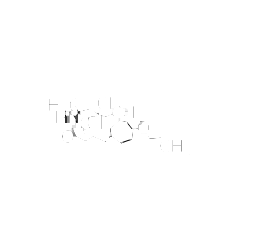 CCCOC1=CCCC(CCCC2OC2NC(C)(C)CC(C)(C)CC)C=C1